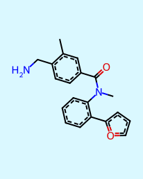 Cc1cc(C(=O)N(C)c2ccccc2-c2ccco2)ccc1CN